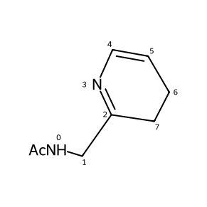 CC(=O)NCC1=NC=CCC1